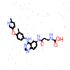 Cc1ccc(Oc2ccc(Nc3ncnc4ccc(NC(=O)CCNC(=O)O)cc34)cc2C)cn1